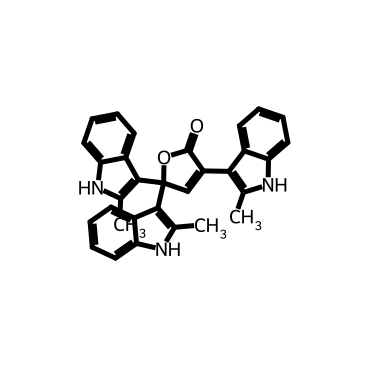 Cc1[nH]c2ccccc2c1C1=CC(c2c(C)[nH]c3ccccc23)(c2c(C)[nH]c3ccccc23)OC1=O